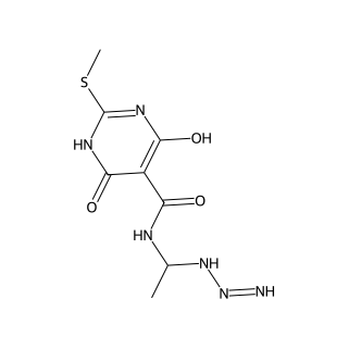 CSc1nc(O)c(C(=O)NC(C)NN=N)c(=O)[nH]1